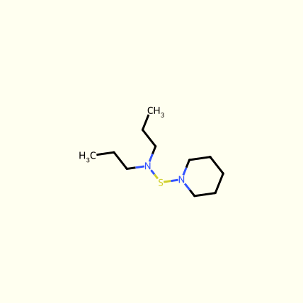 CCCN(CCC)SN1CCCCC1